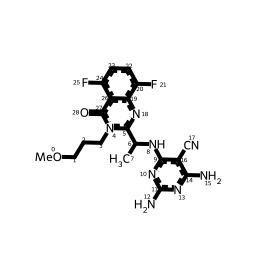 COCCCn1c(C(C)Nc2nc(N)nc(N)c2C#N)nc2c(F)ccc(F)c2c1=O